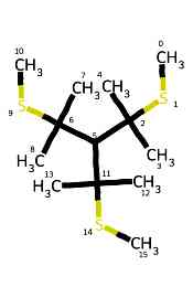 CSC(C)(C)C(C(C)(C)SC)C(C)(C)SC